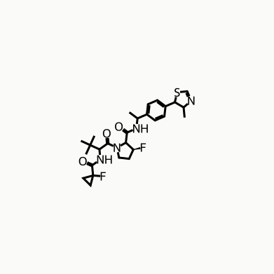 CC(NC(=O)C1[C@@H](F)CCN1C(=O)C(NC(=O)C1(F)CC1)C(C)(C)C)c1ccc(C2SC=NC2C)cc1